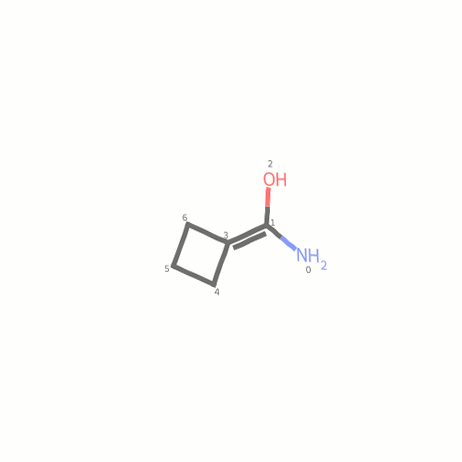 NC(O)=C1CCC1